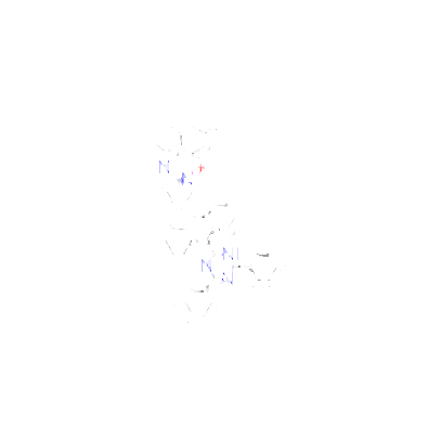 C=C1N=C2C=CC(c3c4ccccc4c(C4N=C(c5ccccc5)N=C(c5ccccc5)N4)c4ccccc34)=CN2Oc2ccccc21